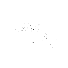 COc1ccccc1N1CCN(C(=O)[C@@]2(C)CC[C@]3(C)CC[C@]4(C)C(=CC[C@@H]5[C@@]6(C)CC[C@H](OC(=O)/C=C/C(=O)O)C(C)(C)[C@@H]6CC[C@]54C)[C@@H]3C2)CC1.[NaH]